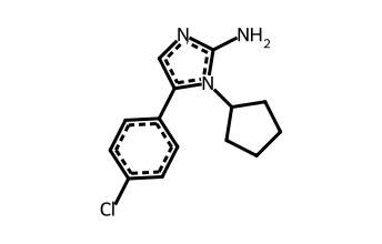 Nc1ncc(-c2ccc(Cl)cc2)n1C1CCCC1